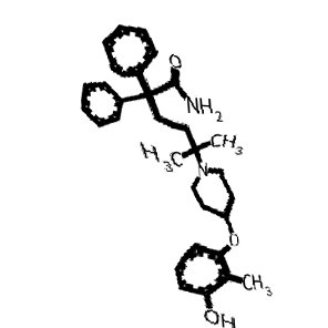 Cc1c(O)cccc1OC1CCN(C(C)(C)CCC(C(N)=O)(c2ccccc2)c2ccccc2)CC1